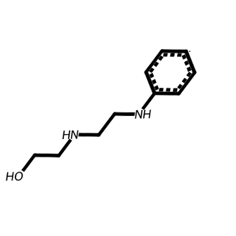 OCCNCCNc1cc[c]cc1